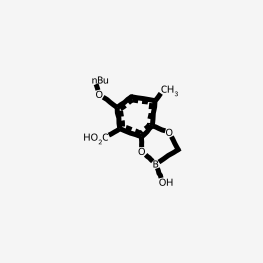 CCCCOc1cc(C)c2c(c1C(=O)O)OB(O)CO2